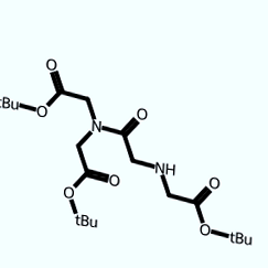 CC(C)(C)OC(=O)CNCC(=O)N(CC(=O)OC(C)(C)C)CC(=O)OC(C)(C)C